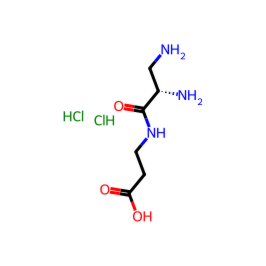 Cl.Cl.NC[C@H](N)C(=O)NCCC(=O)O